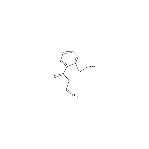 C=COC(=O)c1ccccc1CC(C)CCC